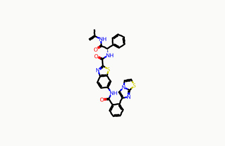 C=C(C)NC(=O)[C@@H](NC(=O)c1nc2ccc(NC(=O)c3ccccc3-c3cn4ccsc4n3)cc2s1)c1ccccc1